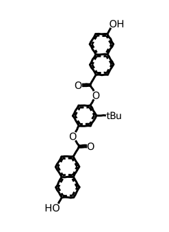 CC(C)(C)c1cc(OC(=O)c2ccc3cc(O)ccc3c2)ccc1OC(=O)c1ccc2cc(O)ccc2c1